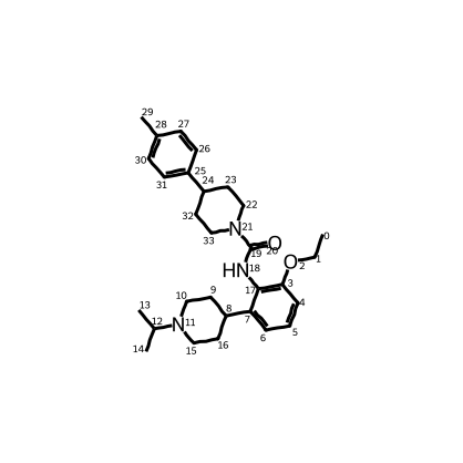 CCOc1cccc(C2CCN(C(C)C)CC2)c1NC(=O)N1CCC(c2ccc(C)cc2)CC1